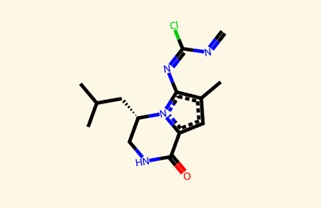 C=N/C(Cl)=N\c1c(C)cc2n1[C@@H](CC(C)C)CNC2=O